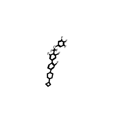 Fc1cc(C2CCC(C3CCC3)CC2)ccc1-c1cc(F)c(C(F)(F)Oc2cc(F)c(F)c(F)c2)c(F)c1